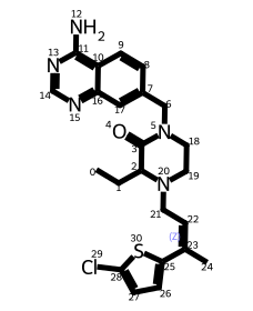 CCC1C(=O)N(Cc2ccc3c(N)ncnc3c2)CCN1C/C=C(/C)c1ccc(Cl)s1